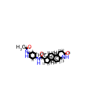 CC(=O)Nc1ccc(NC(=O)C2CC[C@H]3[C@@H]4CCC5NC(=O)CC[C@]5(C)[C@@H]4CC[C@]23C)cc1